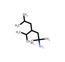 CC(C)CC(CC(C)(C)N)C(C)C